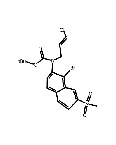 CC(C)(C)OC(=O)N(CC=CCl)c1ccc2ccc(S(C)(=O)=O)cc2c1Br